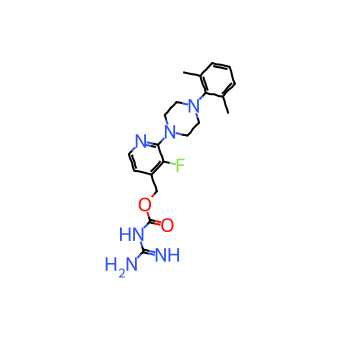 Cc1cccc(C)c1N1CCN(c2nccc(COC(=O)NC(=N)N)c2F)CC1